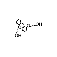 OCCCOc1ccccc1Cc1ccccc1OCCCO